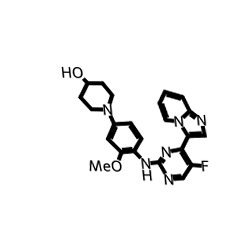 COc1cc(N2CCC(O)CC2)ccc1Nc1ncc(F)c(-c2cnc3ccccn23)n1